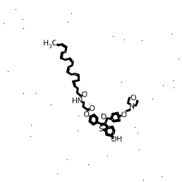 CC/C=C\C/C=C\C/C=C\C/C=C\C/C=C\C/C=C\CCC(=O)NCCC(=O)Oc1ccc(-c2sc3cc(O)ccc3c2C(=O)c2ccc(OCCN3CCOCC3)cc2)cc1